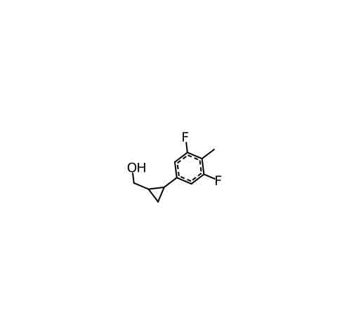 Cc1c(F)cc(C2CC2CO)cc1F